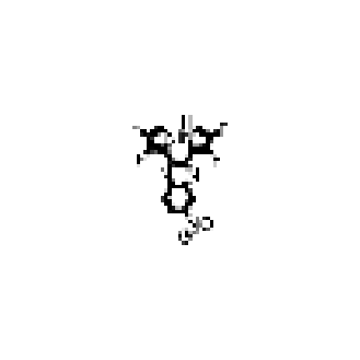 O=[N+]([O-])c1ccc2nc(-c3[nH]cc(F)c3F)c(-c3[nH]cc(F)c3F)nc2c1